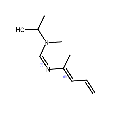 C=C/C=C(C)/N=C\N(C)C(C)O